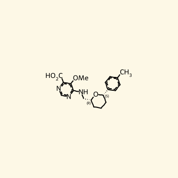 COc1c(NC[C@H]2CCC[C@@H](c3ccc(C)cc3)O2)ncnc1C(=O)O